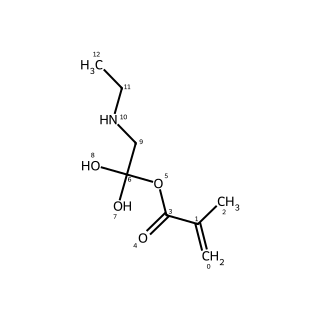 C=C(C)C(=O)OC(O)(O)CNCC